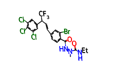 CCNC(=O)N(C)NC(=O)c1ccc(C=CC(c2cc(Cl)c(Cl)c(Cl)c2)C(F)(F)F)cc1Br